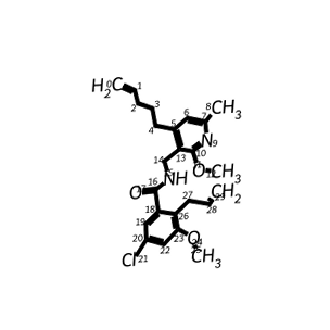 C=CCCCc1cc(C)nc(OC)c1CNC(=O)c1cc(Cl)cc(OC)c1CC=C